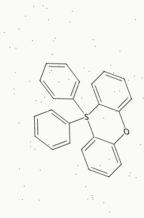 c1ccc(S2(c3ccccc3)c3ccccc3Oc3ccccc32)cc1